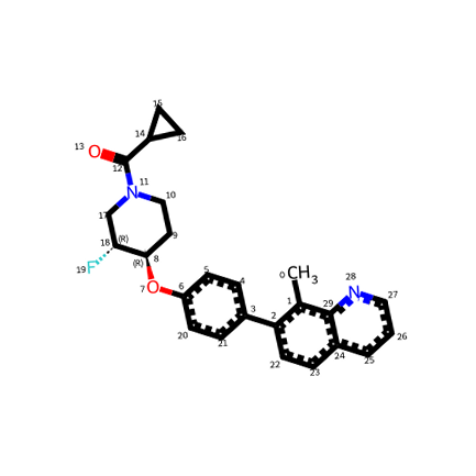 Cc1c(-c2ccc(O[C@@H]3CCN(C(=O)C4CC4)C[C@H]3F)cc2)ccc2cccnc12